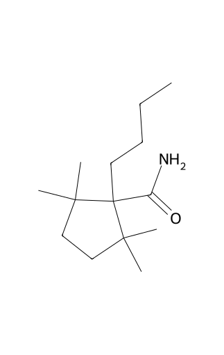 CCCCC1(C(N)=O)C(C)(C)CCC1(C)C